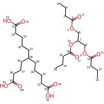 CCCC(=O)OCC(COC(=O)CCC)OC(=O)CCC.O=C(O)CCCCC(CCCCC(=O)O)CCCC(=O)O